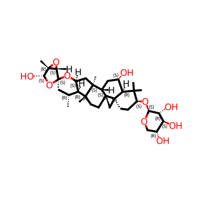 C[C@@H]1C[C@]2(O[C@H]3C[C@@]4(C)[C@@H]5C[C@H](O)[C@H]6C(C)(C)[C@@H](O[C@@H]7OC[C@@H](O)[C@H](O)[C@H]7O)CC[C@@]67C[C@@]57CC[C@]4(C)[C@@H]13)O[C@H](O)[C@]1(C)O[C@H]21